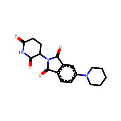 O=C1CCC(N2C(=O)c3ccc(N4CCCCC4)cc3C2=O)C(=O)N1